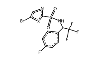 O=S(=O)(NC(c1ccc(F)cc1)C(F)(F)F)c1ncc(Br)s1